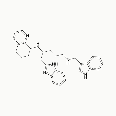 c1cnc2c(c1)CCCC2NC(CCCNCc1c[nH]c2ccccc12)Cc1nc2ccccc2[nH]1